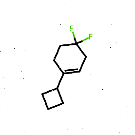 FC1(F)CC=C(C2CCC2)CC1